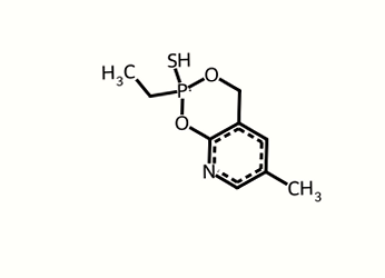 CC[P]1(S)OCc2cc(C)cnc2O1